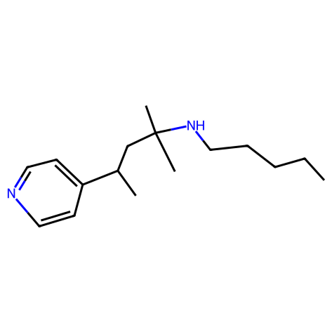 CCCCCNC(C)(C)CC(C)c1ccncc1